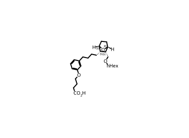 CCCCCCOC[C@@H]1[C@H](CCCCc2cccc(OCCCC(=O)O)c2)[C@@H]2CC[C@H]1O2